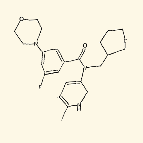 CC1=[C]C=C(N(CC2CCCCC2)C(=O)c2cc(F)cc(N3CCOCC3)c2)CN1